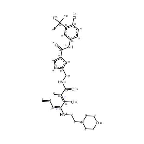 C=C/N=C(NCCN1CCOCC1)\C(Cl)=C(/C)C(=O)NCc1ncc(C(=O)Nc2ccc(Cl)c(C(F)(F)F)c2)s1